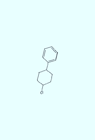 ClC1CCC(c2ccccc2)CC1